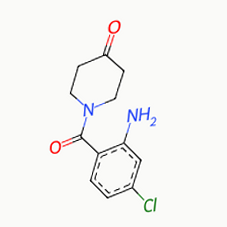 Nc1cc(Cl)ccc1C(=O)N1CCC(=O)CC1